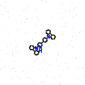 C1=C(c2ccc(-n3c4ccccc4c4ccccc43)cc2)CNC(n2c3ccccc3c3ccccc32)=C1